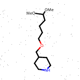 COC(CCCCOCC1CCNCC1)OC